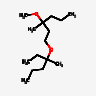 CCCC(C)(CCOC(C)(CC)CCC)OC